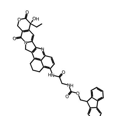 CC[C@@]1(O)C(=O)OCc2c1cc1n(c2=O)Cc2c-1nc1ccc(NC(=O)CNC(=O)OCC3c4ccccc4-c4ccccc43)c3c1c2CCC3